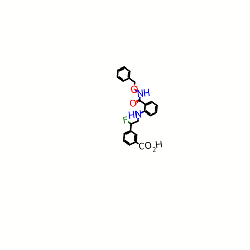 O=C(O)c1cccc(C(F)CNc2ccccc2C(=O)NOCc2ccccc2)c1